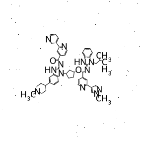 CC(C)Cn1/c(=N/C(OC2CCC(n3/c(=N/C(=O)c4ccnc(-c5cccnc5)c4)[nH]c4cc(C5CCN(C)CC5)ccc43)C2)c2ccnc(-c3cnn(C)c3)c2)[nH]c2ccccc21